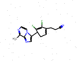 Cc1nccn2c(C3CC=C(CCC#N)C(F)=C3F)cnc12